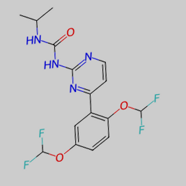 CC(C)NC(=O)Nc1nccc(-c2cc(OC(F)F)ccc2OC(F)F)n1